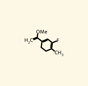 C=C(OC)C1=CC(F)=C(C)CC1